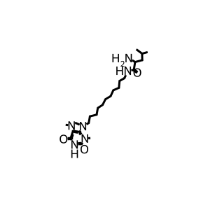 CC(C)CC(N)C(=O)NCCCCCCCCCCCN1CN(C)c2c1n(C)c(=O)[nH]c2=O